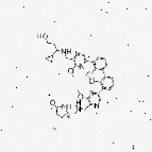 COc1nc(-c2cccc(-c3cccc(-c4cnc(CNC(CCO)C5CC5)c(OC)n4)c3Cl)c2Cl)cnc1CNC[C@@H]1CCC(=O)N1